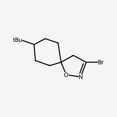 CC(C)(C)C1CCC2(CC1)CC(Br)=NO2